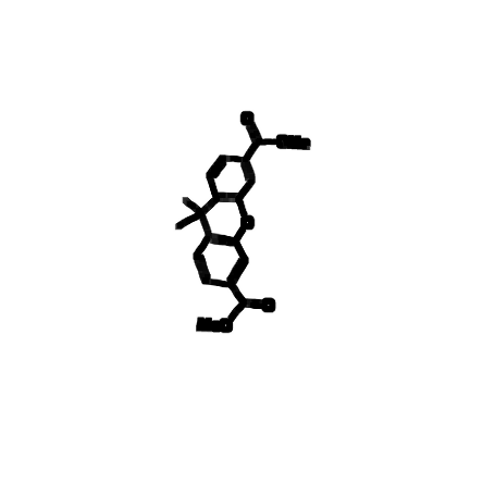 COC(=O)c1ccc2c(c1)Oc1cc(C(=O)OC)ccc1C2(C)C